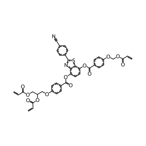 C=CC(=O)OCOc1ccc(C(=O)Oc2ccc(OC(=O)c3ccc(OCC(COC(=O)C=C)OC(=O)C=C)cc3)c3nc(-c4ccc(C#N)cc4)sc23)cc1